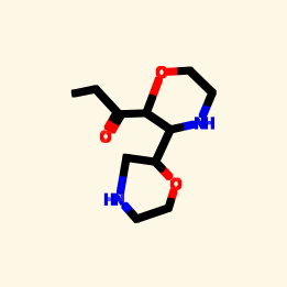 CCC(=O)C1OCCNC1C1CNCCO1